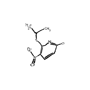 CC(C)Sc1nc(Cl)ccc1[N+](=O)[O-]